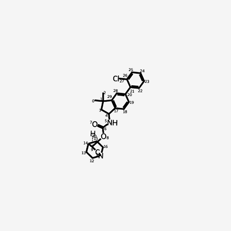 CC1(C)CC(NC(=O)O[C@H]2CN3CCC2CC3)c2ccc(-c3ccccc3Cl)cc21